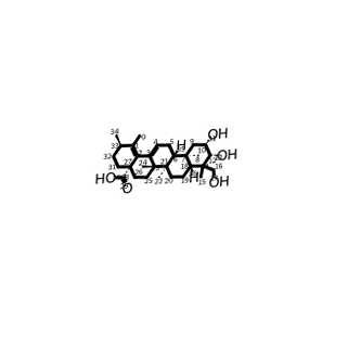 CC1=C2C3=CC[C@@H]4[C@@]5(C)C[C@H](O)[C@H](O)C(C)(CO)[C@@H]5CC[C@@]4(C)[C@]3(C)CC[C@@]2(C(=O)O)CC[C@H]1C